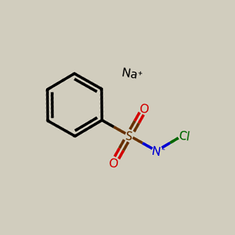 O=S(=O)([N-]Cl)c1ccccc1.[Na+]